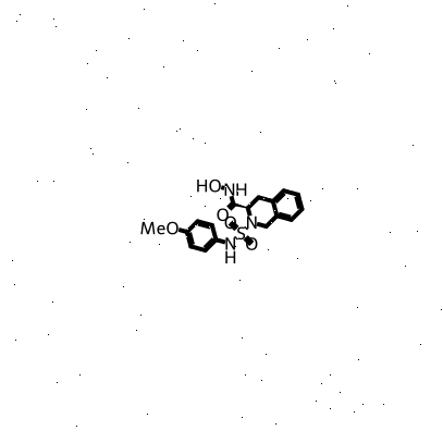 COc1ccc(NS(=O)(=O)N2Cc3ccccc3C[C@@H]2C(=O)NO)cc1